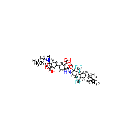 CCC(C)(CC)NC(=O)c1ccc(-c2ccc(C(=O)Nc3ccc(-c4ccc(C(C)(CC)CC)cc4C(F)(F)F)c(C(F)(F)F)c3)c(C(=O)O)c2)cc1C(=O)O